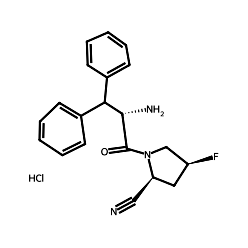 Cl.N#C[C@@H]1C[C@H](F)CN1C(=O)[C@@H](N)C(c1ccccc1)c1ccccc1